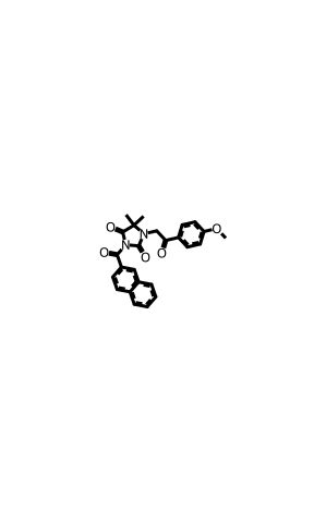 COc1ccc(C(=O)CN2C(=O)N(C(=O)c3ccc4ccccc4c3)C(=O)C2(C)C)cc1